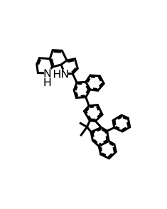 CC1(C)c2cc(-c3ccc(C4=CC=C5C=CC6=C(NCC=C6)C5N4)c4ccccc34)ccc2-c2c1cc1ccccc1c2-c1ccccc1